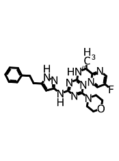 C[C@H](Nc1nc(Nc2cc(CCc3ccccc3)[nH]n2)nc(N2CCOCC2)n1)c1ncc(F)cn1